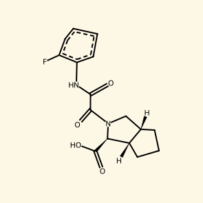 O=C(Nc1ccccc1F)C(=O)N1C[C@@H]2CCC[C@@H]2[C@H]1C(=O)O